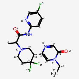 CC(C(=O)Nc1ccc(F)cn1)N1CCC(F)(F)[C@@H](c2cn(CC(F)(F)F)c(=O)cn2)C1